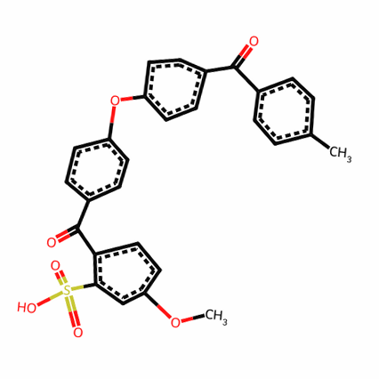 COc1ccc(C(=O)c2ccc(Oc3ccc(C(=O)c4ccc(C)cc4)cc3)cc2)c(S(=O)(=O)O)c1